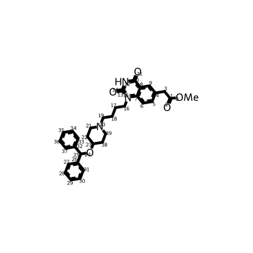 COC(=O)Cc1ccc2c(c1)c(=O)[nH]c(=O)n2CCCCN1CCC(OC(c2ccccc2)c2ccccc2)CC1